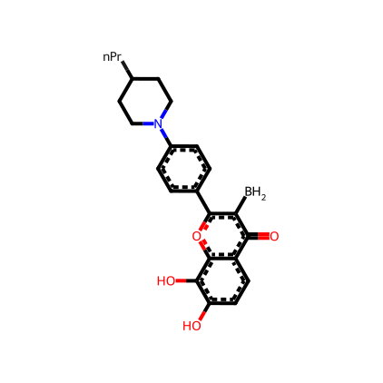 Bc1c(-c2ccc(N3CCC(CCC)CC3)cc2)oc2c(O)c(O)ccc2c1=O